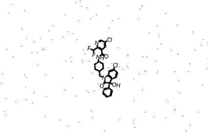 O=C(NC1CCC(CN2C(=O)C(O)(c3ccccc3)c3ccc(Cl)cc32)CC1)c1cc(Cl)cnc1C(F)F